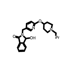 CC(C)CN1CCC(Oc2ccc(CN3C(=O)c4ccccc4C3O)cn2)CC1